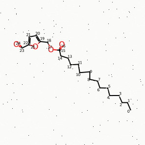 CCCCCCCCCCCCCCCC(=O)OCc1ccc(C=O)o1